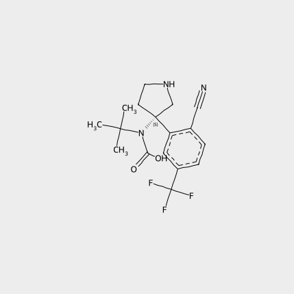 CC(C)(C)N(C(=O)O)[C@]1(c2cc(C(F)(F)F)ccc2C#N)CCNC1